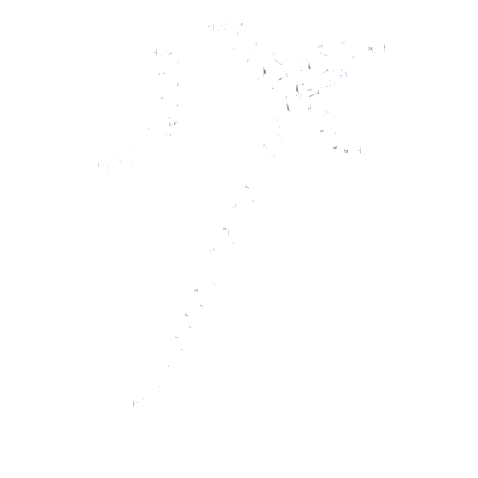 CCCCCCCCCCCCCCCCCCCCCCCCCCCC=CC(C(=C=[N+]=[N-])CCCCCC)=C(c1ccc(CCCC)cc1)c1ccc(CCCCC)cc1.CCCCC[CH2][Ni][CH2]CCCCC